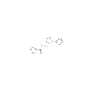 COc1ccc(-c2cccc(NC(=O)c3cnn4c(C)cc(C)nc34)c2)cc1